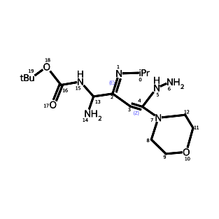 CC(C)/N=C(\C=C(/NN)N1CCOCC1)C(N)NC(=O)OC(C)(C)C